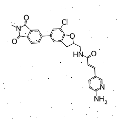 CN1C(=O)c2ccc(-c3cc(Cl)c4c(c3)CC(CNC(=O)/C=C/c3ccc(N)nc3)O4)cc2C1=O